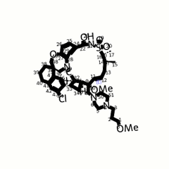 COCCCN1CCN(C[C@]2(OC)/C=C/C[C@H](C)[C@@H](C)S(=O)(=O)NC(=O)c3ccc4c(c3)N(C[C@@H]3CC[C@H]32)C[C@@]2(CCCc3cc(Cl)ccc32)CO4)CC1